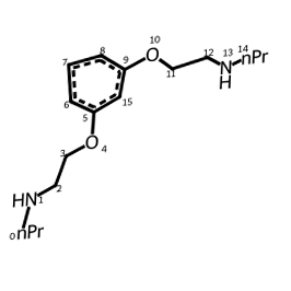 CCCNCCOc1cccc(OCCNCCC)c1